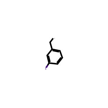 [CH2]Cc1cccc(I)c1